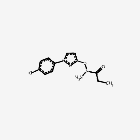 CCC(=O)N(N)Oc1ccn(-c2ccc(Cl)cc2)n1